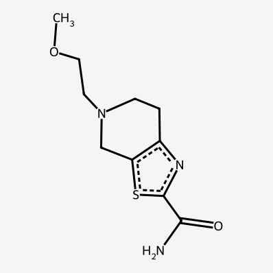 COCCN1CCc2nc(C(N)=O)sc2C1